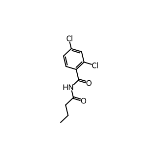 CCCC(=O)NC(=O)c1ccc(Cl)cc1Cl